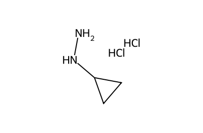 Cl.Cl.NNC1CC1